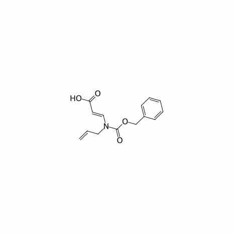 C=CCN(C=CC(=O)O)C(=O)OCc1ccccc1